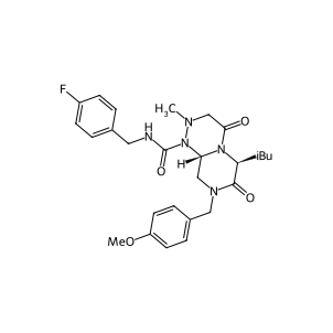 CCC(C)[C@H]1C(=O)N(Cc2ccc(OC)cc2)C[C@H]2N1C(=O)CN(C)N2C(=O)NCc1ccc(F)cc1